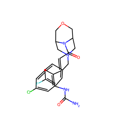 NC(=O)Nc1cc(Cl)ccc1C=CC(=O)N1C2COCC1CN(Cc1ccc(F)cc1)C2